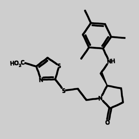 Cc1cc(C)c(NC[C@H]2CCC(=O)N2CCSc2nc(C(=O)O)cs2)c(C)c1